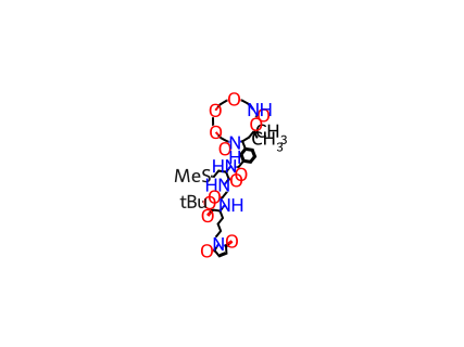 CSCCC(NC(=O)c1cccc(C2CC(C)(C)OC(=O)NCCOCCOCCOCC(=O)N2)c1)C(=O)NCC(=O)NC(CCCCN1C(=O)C=CC1=O)C(=O)OC(C)(C)C